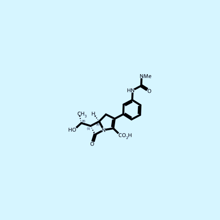 CNC(=O)Nc1cccc(C2=C(C(=O)O)N3C(=O)[C@H]([C@@H](C)O)[C@H]3C2)c1